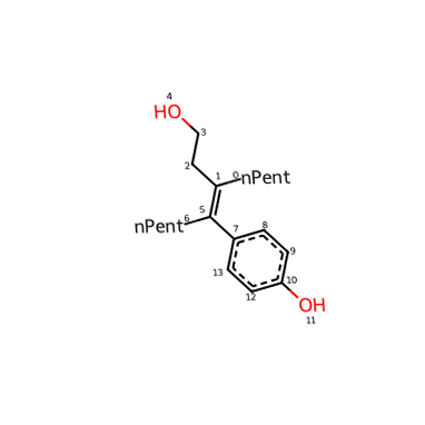 CCCCC/C(CCO)=C(/CCCCC)c1ccc(O)cc1